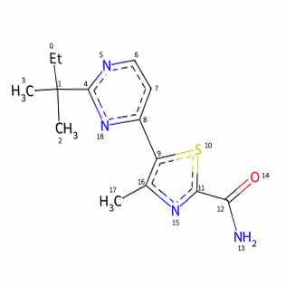 CCC(C)(C)c1nccc(-c2sc(C(N)=O)nc2C)n1